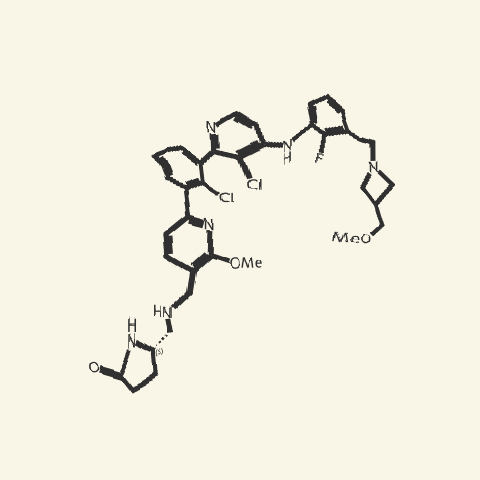 COCC1CN(Cc2cccc(Nc3ccnc(-c4cccc(-c5ccc(CNC[C@@H]6CCC(=O)N6)c(OC)n5)c4Cl)c3Cl)c2F)C1